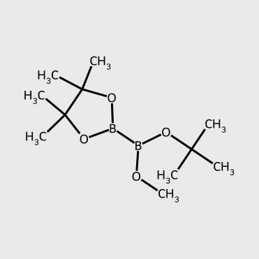 COB(OC(C)(C)C)B1OC(C)(C)C(C)(C)O1